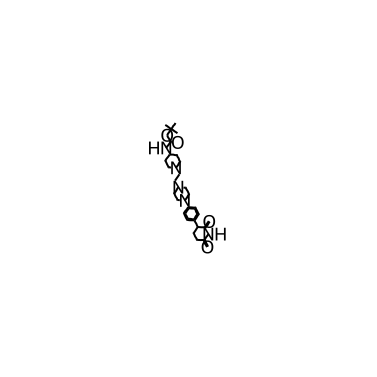 CC(C)(C)OC(=O)NC1CCN(CCN2CCN(c3ccc(C4CCC(=O)NC4=O)cc3)CC2)CC1